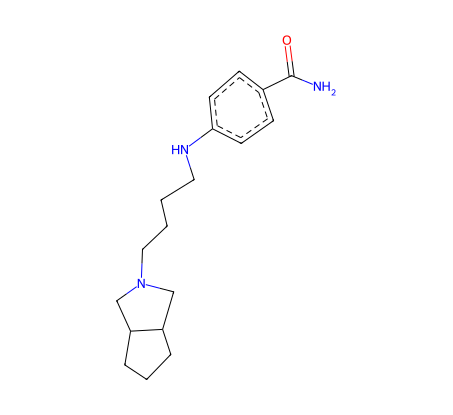 NC(=O)c1ccc(NCCCCN2CC3CCCC3C2)cc1